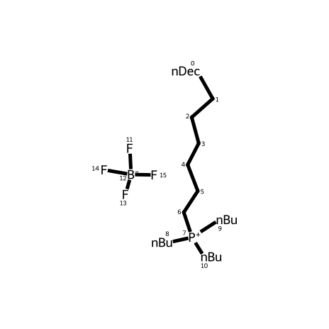 CCCCCCCCCCCCCCCC[P+](CCCC)(CCCC)CCCC.F[B-](F)(F)F